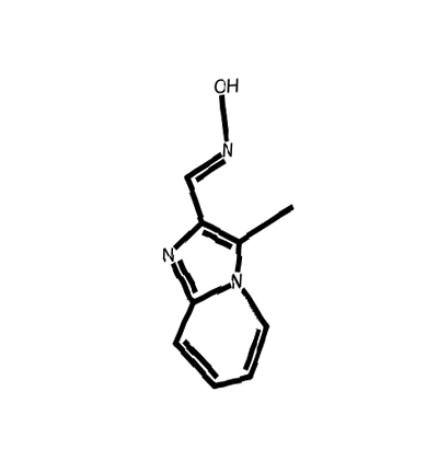 Cc1c(/C=N/O)nc2ccccn12